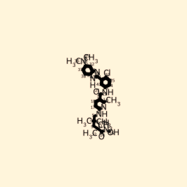 Cc1nc(NCC(C)(C)CC(C)(C)C(=O)NO)ccc1C(=O)Nc1ccc(Cl)c(-c2nc3cc(N(C)C)ccc3[nH]2)c1